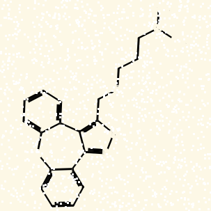 CN(C)CCCOCc1[nH]nc2c1-c1ccccc1Sc1ccccc1-2